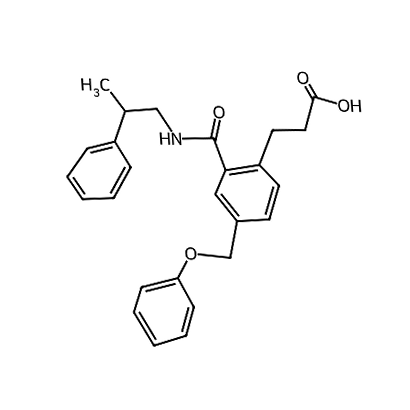 CC(CNC(=O)c1cc(COc2ccccc2)ccc1CCC(=O)O)c1ccccc1